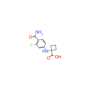 NC(=O)c1ccc(NC2(C(=O)O)CCC2)cc1F